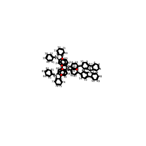 O=S12(c3ccccc3-c3ccc(-c4ccc(-n5c6ccccc6c6cc7c(cc65)c5ccccc5n7-c5ccccc5)cc4)cc31)c1ccccc1-c1ccc(-c3ccc(-n4c5ccccc5c5cc6c(cc54)c4ccccc4n6-c4ccccc4)cc3)cc12